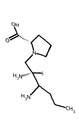 CCCC(N)[C@](N)(I)CN1CCC[C@H]1C(=O)O